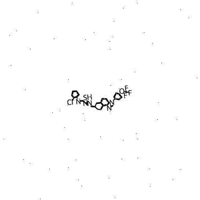 FC(F)(F)Oc1ccc(-n2cnc3c4c(ccc32)=CC(=CN=NC(S)=Nc2ccccc2Cl)CC=4)cc1